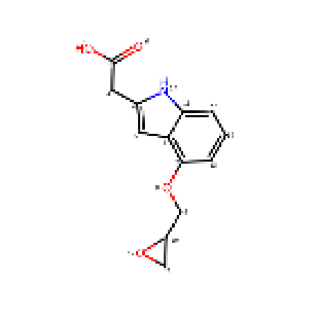 O=C(O)Cc1cc2c(OCC3CO3)cccc2[nH]1